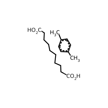 Cc1ccc(C)cc1.O=C(O)CCCCCCCCC(=O)O